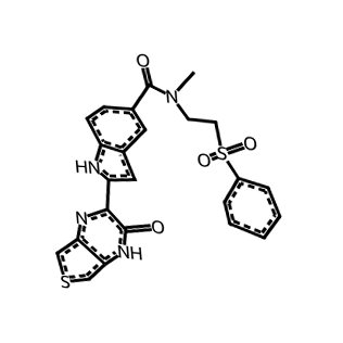 CN(CCS(=O)(=O)c1ccccc1)C(=O)c1ccc2[nH]c(-c3nc4cscc4[nH]c3=O)cc2c1